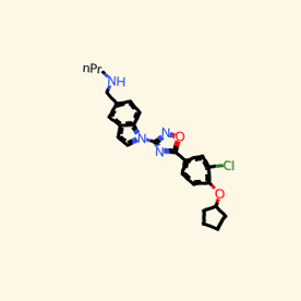 [CH2]CCNCc1ccc2c(ccn2-c2noc(-c3ccc(OC4CCCC4)c(Cl)c3)n2)c1